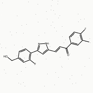 Cc1cc(C(=O)/C=C/c2cc(-c3ccc(CO)cc3F)n[nH]2)ccc1F